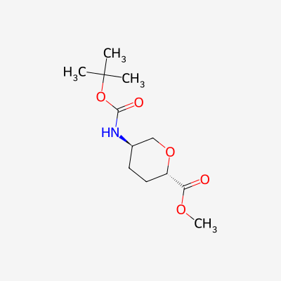 COC(=O)[C@@H]1CC[C@@H](NC(=O)OC(C)(C)C)CO1